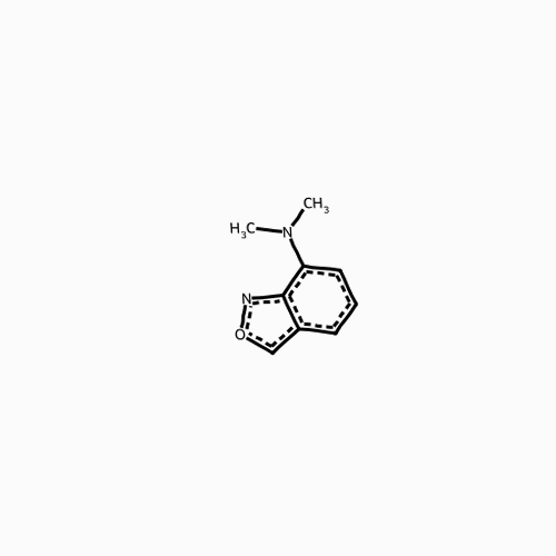 CN(C)c1cccc2conc12